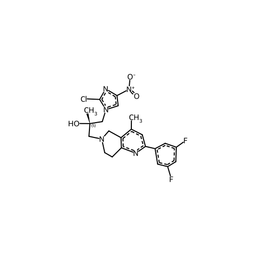 Cc1cc(-c2cc(F)cc(F)c2)nc2c1CN(C[C@](C)(O)Cn1cc([N+](=O)[O-])nc1Cl)CC2